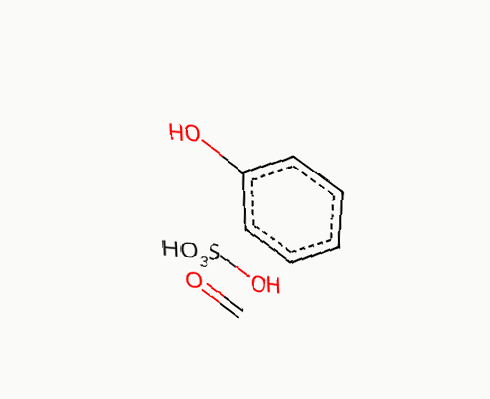 C=O.O=S(=O)(O)O.Oc1ccccc1